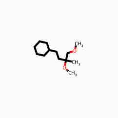 COCC(C)(CCC1CCCCC1)OC